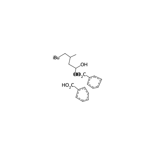 CCC(C)CC(C)CC(O)O.O=C(O)c1ccccc1.O=C(O)c1ccccc1